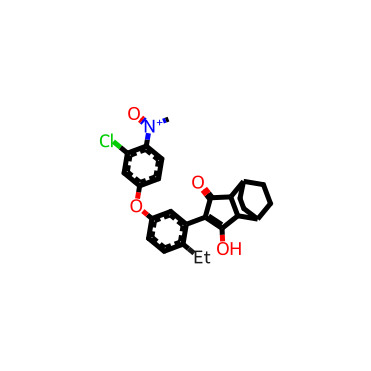 CCc1ccc(Oc2ccc([N+](C)=O)c(Cl)c2)cc1C1=C(O)C2C3CCC(CC3)C2C1=O